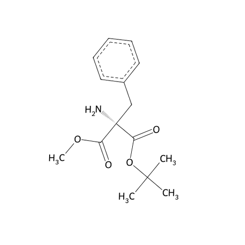 COC(=O)[C@@](N)(Cc1ccccc1)C(=O)OC(C)(C)C